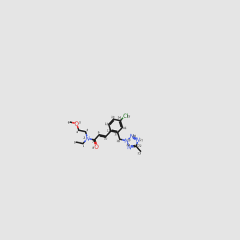 CCN(CCOC)C(=O)/C=C/c1ccc(Cl)cc1Cn1nnc(C)n1